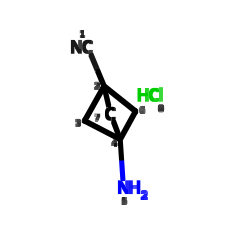 Cl.N#CC12CC(N)(C1)C2